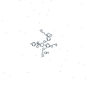 COCCCN1CCOc2ccc(CO[C@H]3CN(S(=O)(=O)c4ccc(C)cc4)C[C@@H](OC[C@H](O)COC)[C@@H]3c3ccc(OCC4CC4)cc3C)cc21